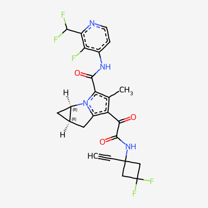 C#CC1(NC(=O)C(=O)c2c(C)c(C(=O)Nc3ccnc(C(F)F)c3F)n3c2C[C@H]2C[C@H]23)CC(F)(F)C1